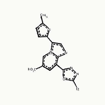 CCc1nnc(-c2cc(C(=O)O)cn3c(-c4ccc(C)s4)cnc23)o1